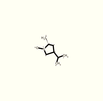 CC(C)C1C[C@@H](C)[S+]([O-])C1